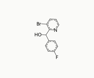 OC(c1ccc(F)cc1)c1ncccc1Br